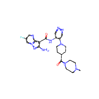 CN1CCN(C(=O)C2CCN(c3cnncc3NC(=O)c3c(N)nn4cc(F)cnc34)CC2)CC1